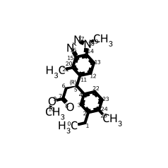 CCc1cc([C@@H](CC(=O)OC)c2ccc3c(nnn3C)c2C)ccc1C